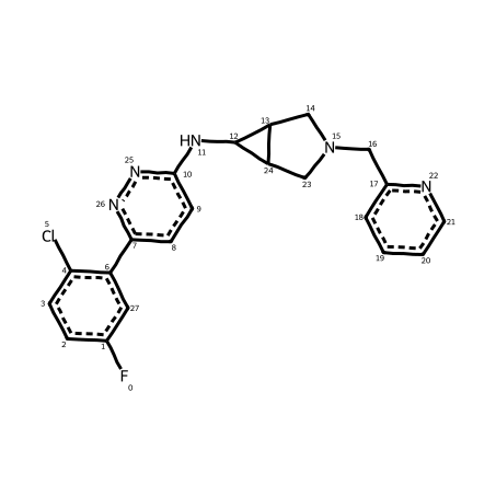 Fc1ccc(Cl)c(-c2ccc(NC3C4CN(Cc5ccccn5)CC43)nn2)c1